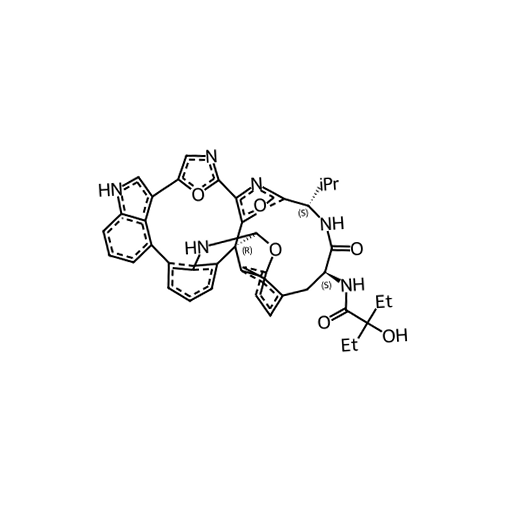 CCC(O)(CC)C(=O)N[C@H]1Cc2ccc3c(c2)[C@]24c5cccc(c5NC2O3)-c2cccc3[nH]cc(c23)-c2cnc(o2)-c2nc(oc24)[C@H](C(C)C)NC1=O